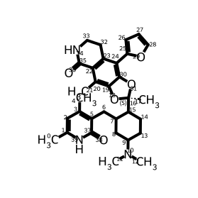 Cc1cc(C)c(CC2CC(N(C)C)CCC2[C@@]2(C)Oc3c(C)c4c(c(-c5ccco5)c3O2)CCNC4=O)c(=O)[nH]1